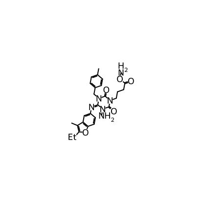 CCc1oc2ccc(/N=c3\n(N)c(=O)n(CCCC(=O)ON)c(=O)n3Cc3ccc(C)cc3)cc2c1C